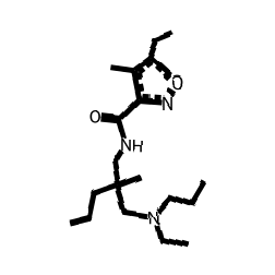 CCCN(CC)CC(C)(CCC)CNC(=O)c1noc(CC)c1C